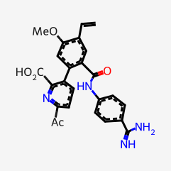 C=Cc1cc(C(=O)Nc2ccc(C(=N)N)cc2)c(-c2ccc(C(C)=O)nc2C(=O)O)cc1OC